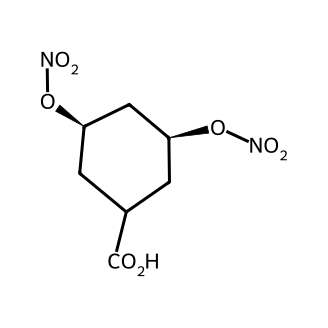 O=C(O)C1C[C@@H](O[N+](=O)[O-])C[C@@H](O[N+](=O)[O-])C1